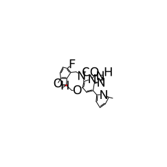 Cc1cccc(-c2cc3c(n4cnnc24)N(C(=O)O)Cc2c(F)ccc4c2[C@@H](CO4)CO3)n1